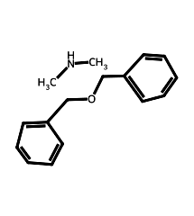 CNC.c1ccc(COCc2ccccc2)cc1